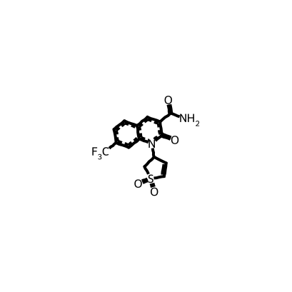 NC(=O)c1cc2ccc(C(F)(F)F)cc2n(C2C=CS(=O)(=O)C2)c1=O